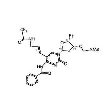 CC[C@H]1O[C@@H](n2cc(/C=C/CNC(=O)C(F)(F)F)c(NC(=O)c3ccccc3)nc2=O)C[C@H]1OCSC